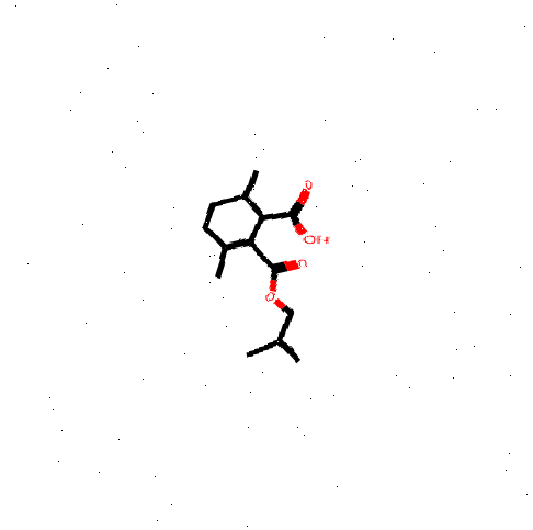 CC(C)COC(=O)C1C(C)CCC(C)C1C(=O)O